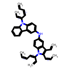 C=C/C=C\C(=C/C)n1c2ccccc2c2cc(Nc3ccc4c(c3)c(C=C)c(/C=C\C)n4/C(C=C)=C/C=C\C)ccc21